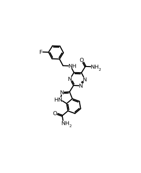 NC(=O)c1nnc(-c2n[nH]c3c(C(N)=O)cccc23)nc1NCc1cccc(F)c1